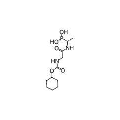 CC(NC(=O)CNC(=O)OC1CCCCC1)P(O)O